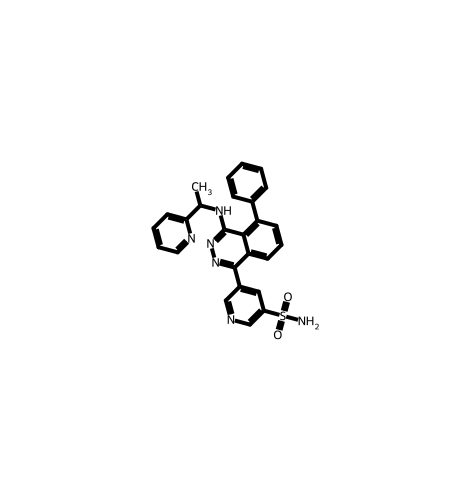 CC(Nc1nnc(-c2cncc(S(N)(=O)=O)c2)c2cccc(-c3ccccc3)c12)c1ccccn1